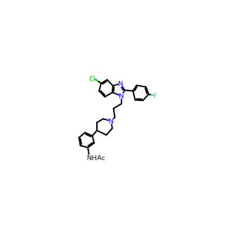 CC(=O)Nc1cccc(C2CCN(CCCn3c(-c4ccc(F)cc4)nc4cc(Cl)ccc43)CC2)c1